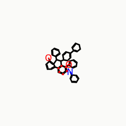 C1=CC(C2=CC3OC4C=CCCC4C(C4c5ccccc5Oc5cccc(C6=CC7c8ccccc8N(c8ccccc8)C7C=C6)c54)C3C=C2)=CCC1